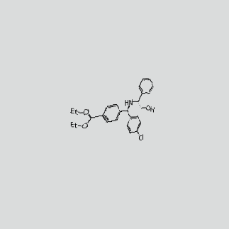 CCOC(OCC)c1ccc([C@@H](N[C@@H](CO)c2ccccc2)c2ccc(Cl)cc2)cc1